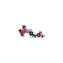 CC(C)Oc1ccc(-c2nnc(-c3cc(F)c(OC[C@@H](COP(=O)(OC(C)(C)C)OC(C)(C)C)NC(=O)OC(C)(C)C)cc3Cl)s2)cc1Br